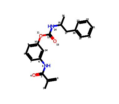 C=C(C)C(=O)Nc1cccc(OC(=O)NC(C)Cc2ccccc2)c1